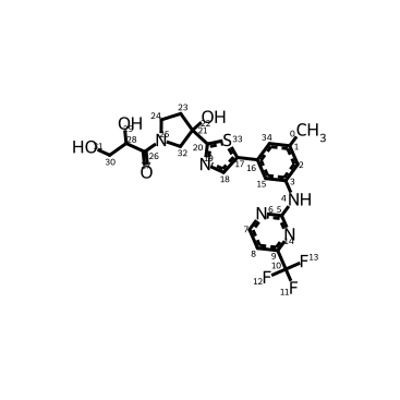 Cc1cc(Nc2nccc(C(F)(F)F)n2)cc(-c2cnc(C3(O)CCN(C(=O)C(O)CO)C3)s2)c1